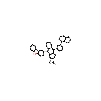 Cc1ccc2c(-c3cccc(-c4cccc5ccccc45)c3)c3ccccc3c(-c3ccc4oc5ccccc5c4c3)c2c1